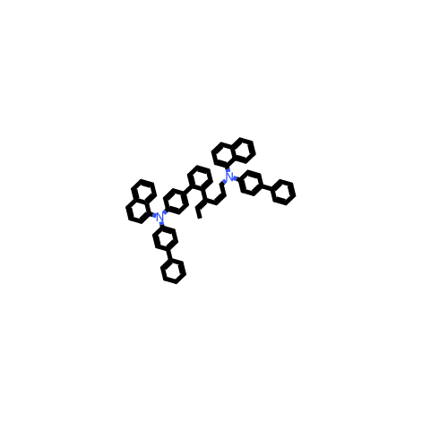 C/C=C(\C=C/CN(c1ccc(-c2ccccc2)cc1)c1cccc2ccccc12)c1ccccc1-c1ccc(N(c2ccc(C3=CCCC=C3)cc2)c2cccc3ccccc23)cc1